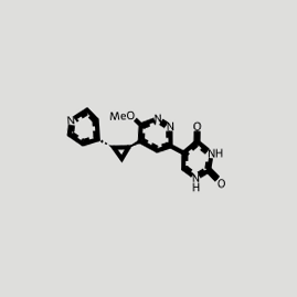 COc1nnc(-c2c[nH]c(=O)[nH]c2=O)cc1[C@H]1C[C@@H]1c1ccncc1